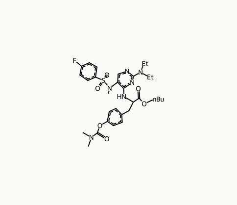 CCCCOC(=O)C(Cc1ccc(OC(=O)N(C)C)cc1)Nc1nc(N(CC)CC)ncc1N(C)S(=O)(=O)c1ccc(F)cc1